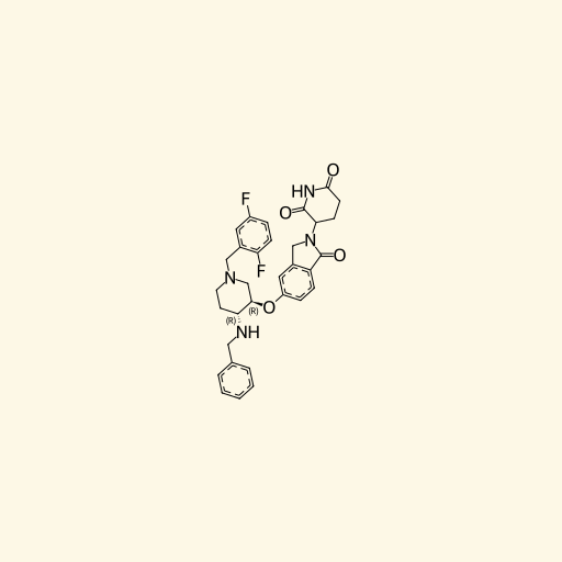 O=C1CCC(N2Cc3cc(O[C@@H]4CN(Cc5cc(F)ccc5F)CC[C@H]4NCc4ccccc4)ccc3C2=O)C(=O)N1